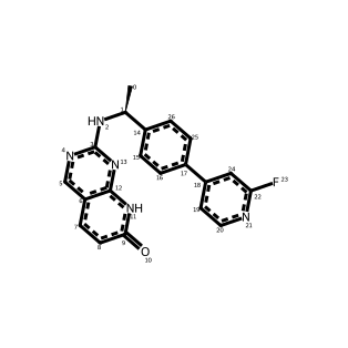 C[C@H](Nc1ncc2ccc(=O)[nH]c2n1)c1ccc(-c2ccnc(F)c2)cc1